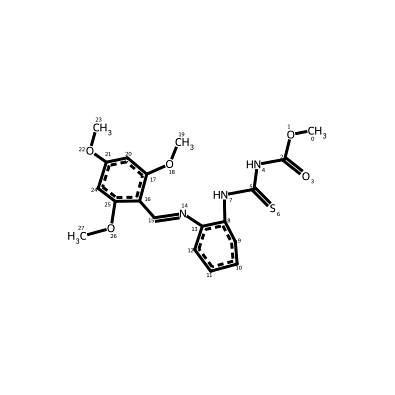 COC(=O)NC(=S)Nc1ccccc1/N=C/c1c(OC)cc(OC)cc1OC